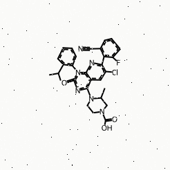 CC(C)c1ccccc1-n1c(=O)nc(N2CCN(C(=O)O)CC2C)c2cc(Cl)c(-c3c(F)cccc3C#N)nc21